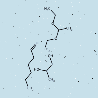 CC(O)CO.CCCCCC=O.CCOC(C)OCC